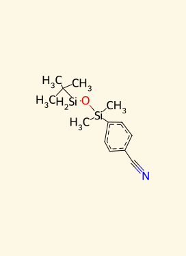 CC(C)(C)[SiH2]O[Si](C)(C)c1ccc(C#N)cc1